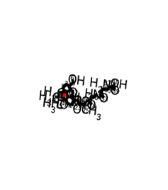 Cc1ccc(CO)c2c1[C@]13CCN(C)[C@H](C)[C@]1(O)CC=C(OC(=O)[C@H](C)OC(=O)CCNC(=O)CC[C@H](N)C(=O)O)[C@@H]3O2